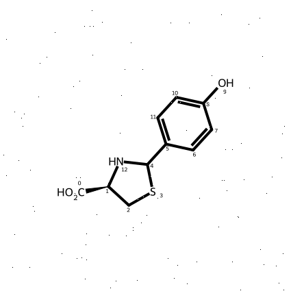 O=C(O)[C@@H]1CSC(c2ccc(O)cc2)N1